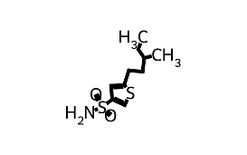 CCC(C)CCc1cc(S(N)(=O)=O)cs1